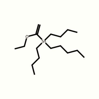 C=[C](OCC)[Sn]([CH2]CCC)([CH2]CCC)[CH2]CCCC